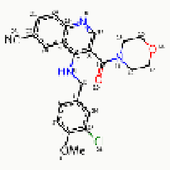 COc1ccc(CNc2c(C(=O)N3CCOCC3)cnc3ccc(C#N)cc23)cc1Cl